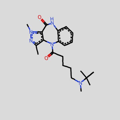 Cc1nn(C)c2c1N(C(=O)CCCCN(C)C(C)(C)C)c1ccccc1NC2=O